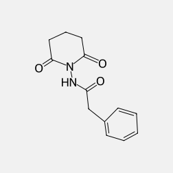 O=C(Cc1ccccc1)NN1C(=O)CCCC1=O